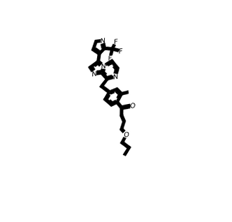 CCCOCCCC(=O)c1ccc(Cc2nccn3c(C4=CCN=C4C(F)(F)F)cnc23)cc1C